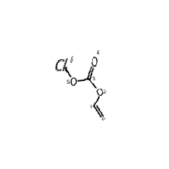 C=COC(=O)OCl